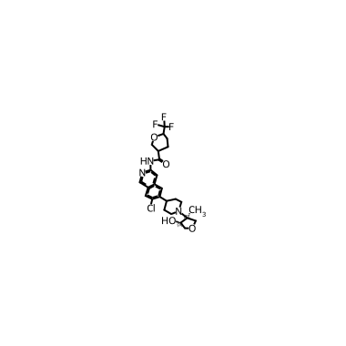 C[C@]1(N2CCC(c3cc4cc(NC(=O)C5CCC(C(F)(F)F)OC5)ncc4cc3Cl)CC2)COC[C@H]1O